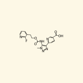 Cn1nnc(-c2ccc(C(=O)O)cn2)c1NC(=O)OCCc1cccnc1F